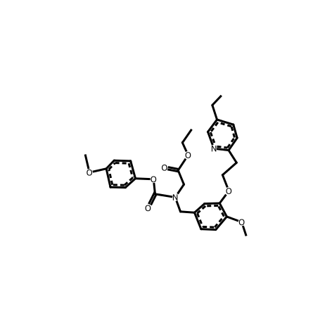 CCOC(=O)CN(Cc1ccc(OC)c(OCCc2ccc(CC)cn2)c1)C(=O)Oc1ccc(OC)cc1